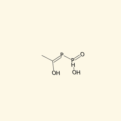 CC(O)=P[PH](=O)O